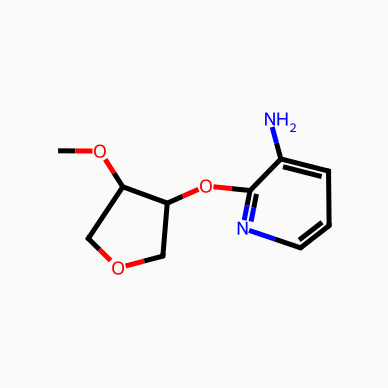 COC1COCC1Oc1ncccc1N